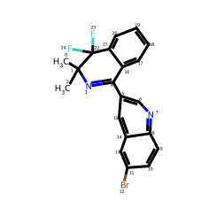 CC1(C)N=C(c2cnc3ccc(Br)cc3c2)c2ccccc2C1(F)F